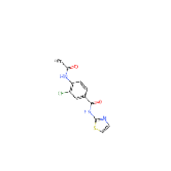 CCCC(=O)Nc1ccc(C(=O)Nc2nccs2)cc1Cl